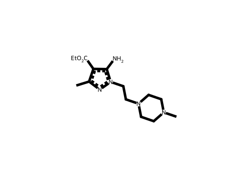 CCOC(=O)c1c(C)nn(CCN2CCN(C)CC2)c1N